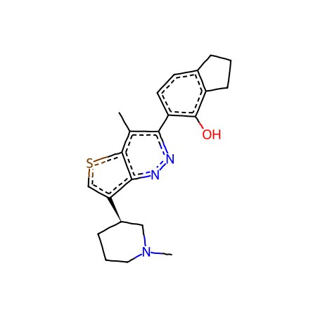 Cc1c(-c2ccc3c(c2O)CCC3)nnc2c([C@@H]3CCCN(C)C3)csc12